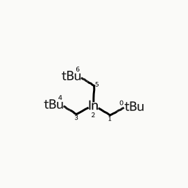 CC(C)(C)[CH2][In]([CH2]C(C)(C)C)[CH2]C(C)(C)C